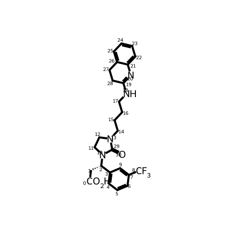 O=C(O)C[C@@H](c1cccc(C(F)(F)F)c1)N1CCN(CCCCNC2=Nc3ccccc3CC2)C1=O